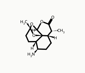 C[C@H]1C(=O)O[C@@H]2O[C@@]3(C)CC[C@H]4[C@H](N)CC[C@@H]1[C@@]24O3